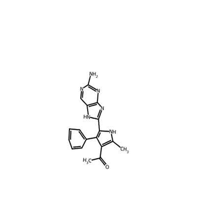 CC(=O)c1c(C)[nH]c(-c2nc3nc(N)ncc3[nH]2)c1-c1ccccc1